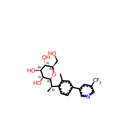 Cc1cc(-c2cncc(C(F)(F)F)c2)ccc1[C@@H](C)[C@H]1O[C@H](CO)[C@@H](O)[C@H](O)[C@@H]1O